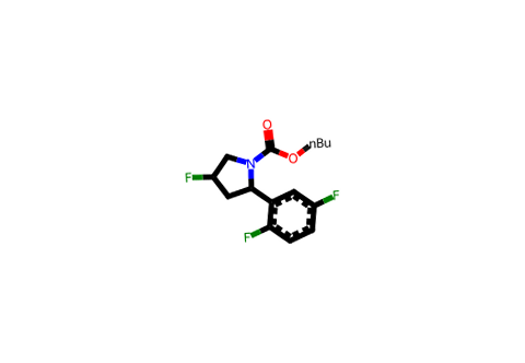 CCCCOC(=O)N1CC(F)CC1c1cc(F)ccc1F